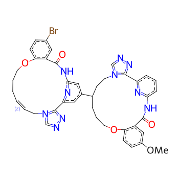 COc1ccc2c(c1)C(=O)Nc1cccc(n1)-c1nncn1CCC(c1cc3nc(c1)-c1nncn1C/C=C\CCCOc1ccc(Br)cc1C(=O)N3)CCCO2